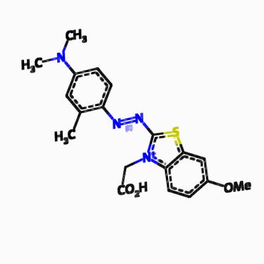 COc1ccc2c(c1)sc(/N=N/c1ccc(N(C)C)cc1C)[n+]2CC(=O)O